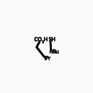 CC(C)CC(=O)O.CCCCS